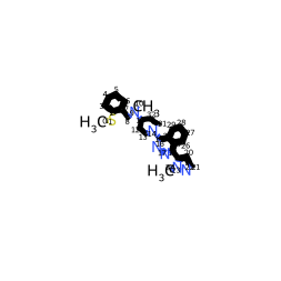 CSc1ccccc1CN(C)C1CCN(c2nnc(-c3ccnn3C)c3ccccc23)CC1